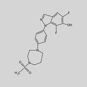 CS(=O)(=O)N1CCCN(c2ccc(-n3ncc4cc(F)c(O)c(F)c43)cc2)CC1